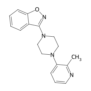 Cc1ncccc1N1CCN(c2noc3ccccc23)CC1